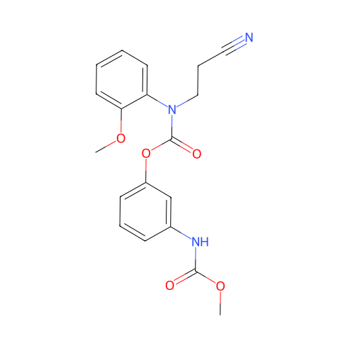 COC(=O)Nc1cccc(OC(=O)N(CCC#N)c2ccccc2OC)c1